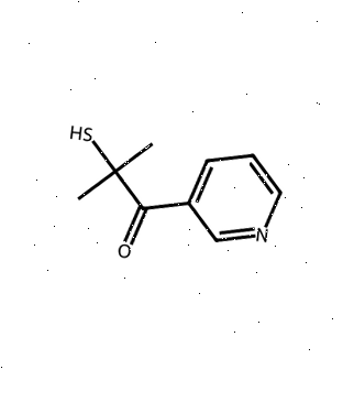 CC(C)(S)C(=O)c1cccnc1